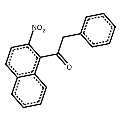 O=C(Cc1ccccc1)c1c([N+](=O)[O-])ccc2ccccc12